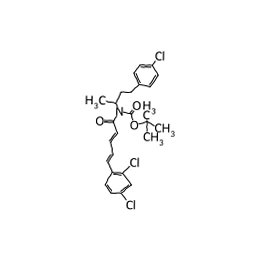 CC(CCc1ccc(Cl)cc1)N(C(=O)C=CC=Cc1ccc(Cl)cc1Cl)C(=O)OC(C)(C)C